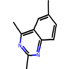 Cc1ccc2nc(C)nc(C)c2c1